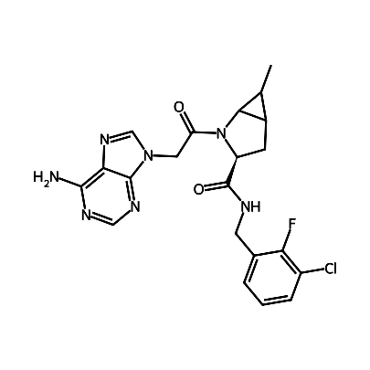 CC1C2C[C@@H](C(=O)NCc3cccc(Cl)c3F)N(C(=O)Cn3cnc4c(N)ncnc43)C12